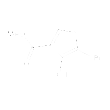 CCC(C)c1scc(C(=O)OC)c1C